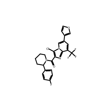 O=C(c1nc2c(C(F)(F)F)cc(-c3ccoc3)cn2c1Cl)N1CCCCC1c1ccc(F)cc1